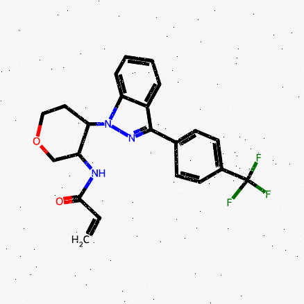 C=CC(=O)NC1COCCC1n1nc(-c2ccc(C(F)(F)F)cc2)c2ccccc21